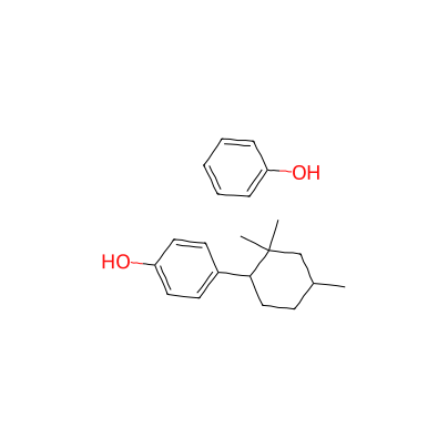 CC1CCC(c2ccc(O)cc2)C(C)(C)C1.Oc1ccccc1